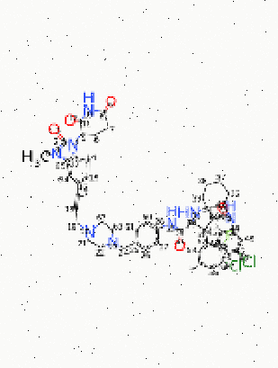 Cn1c(=O)n(C2CCC(=O)NC2=O)c2ccc(C#CCN3CCN(Cc4ccc(NC(=O)[C@@H]5NC6(CCCCC6)[C@@]6(C(=O)Nc7cc(Cl)ccc76)[C@H]5c5cccc(Cl)c5F)cc4)CC3)cc21